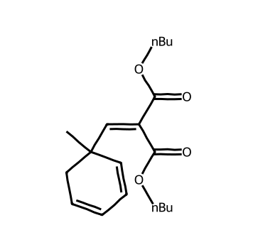 CCCCOC(=O)C(=CC1(C)C=CC=CC1)C(=O)OCCCC